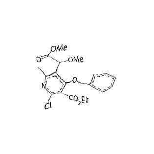 CCOC(=O)c1c(Cl)nc(C)c(C(OC)C(=O)OC)c1OCc1ccccc1